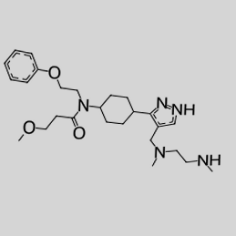 CNCCN(C)Cc1c[nH]nc1C1CCC(N(CCOc2ccccc2)C(=O)CCOC)CC1